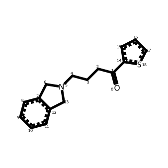 O=C(CCCN1Cc2ccccc2C1)c1cccs1